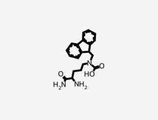 NC(=O)C(N)CCCN(CC1c2ccccc2-c2ccccc21)C(=O)O